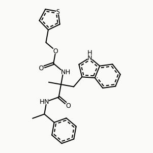 CC(NC(=O)C(C)(Cc1c[nH]c2ccccc12)NC(=O)OCc1ccsc1)c1ccccc1